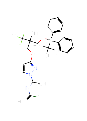 C=C(Cl)NC(C)n1ccc(OCC(C)(CO[Si](C2=CC=CCC2)(c2ccccc2)C(C)(C)C)C(F)(F)F)n1